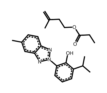 C=C(C)CCOC(=O)CC.Cc1ccc2nn(-c3cccc(C(C)C)c3O)nc2c1